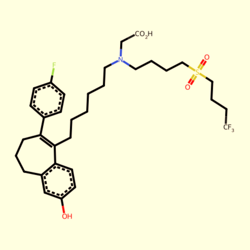 O=C(O)CN(CCCCCCC1=C(c2ccc(F)cc2)CCCc2cc(O)ccc21)CCCCS(=O)(=O)CCCC(F)(F)F